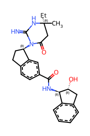 CC[C@]1(C)CC(=O)N([C@@H]2CCc3ccc(C(=O)N[C@@H]4c5ccccc5C[C@H]4O)cc32)C(=N)N1